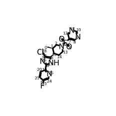 C[C@H]1CN(S(=O)(=O)c2cncnc2)CC[C@H]1c1[nH]c(-c2ccc(F)cn2)nc1Cl